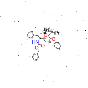 CC(C)C(C#N)CC(=O)[C@H](Cc1ccccc1)C[C@H](O[Si](C)(C)C(C)(C)C)[C@H](Cc1ccccc1)NC(=O)OCc1ccccc1